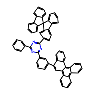 c1ccc(-c2nc(-c3cccc(-c4cc5c6ccccc6c6ccccc6c5c5ccccc45)c3)nc(-c3ccc4c(c3)C3(c5ccccc5-c5ccccc53)c3ccccc3-4)n2)cc1